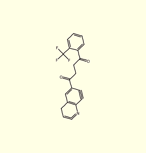 O=C(CCC(=O)c1ccccc1C(F)(F)F)c1c#cc2c(c1)CC=C=N2